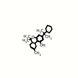 CC1=CCC2C(C1)c1c(O)cc(C(C)(C)C3CCCCC3)cc1OC2(C)C